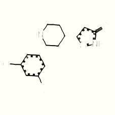 O=c1cc([C@H]2CCN[C@@H](c3cc(Cl)cc(Cl)c3)C2)o[nH]1